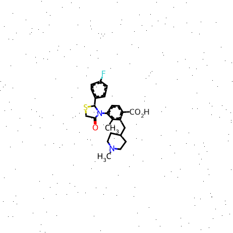 Cc1c(N2C(=O)CSC2c2ccc(F)cc2)ccc(C(=O)O)c1CC1CCN(C)CC1